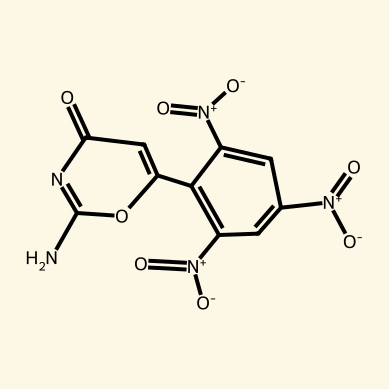 Nc1nc(=O)cc(-c2c([N+](=O)[O-])cc([N+](=O)[O-])cc2[N+](=O)[O-])o1